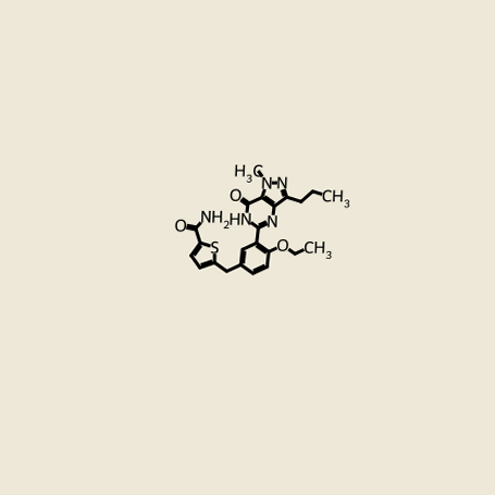 CCCc1nn(C)c2c(=O)[nH]c(-c3cc(Cc4ccc(C(N)=O)s4)ccc3OCC)nc12